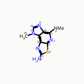 CNc1nc2sc(N)nc2c2c1ncn2C